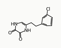 O=c1[nH]cc(CCc2cccc(Cl)c2)[nH]c1=O